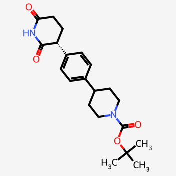 CC(C)(C)OC(=O)N1CCC(c2ccc([C@H]3CCC(=O)NC3=O)cc2)CC1